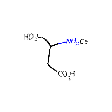 NC(CC(=O)O)C(=O)O.[Ce]